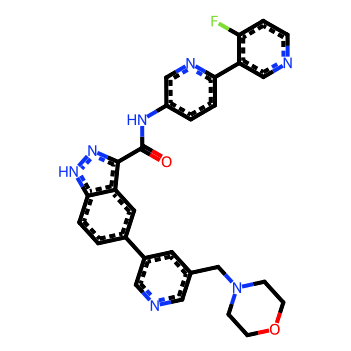 O=C(Nc1ccc(-c2cnccc2F)nc1)c1n[nH]c2ccc(-c3cncc(CN4CCOCC4)c3)cc12